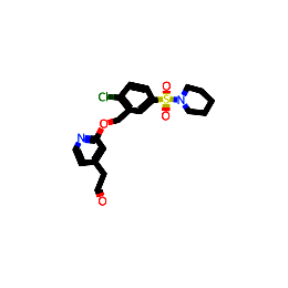 O=CCc1ccnc(OCc2cc(S(=O)(=O)N3CCCCC3)ccc2Cl)c1